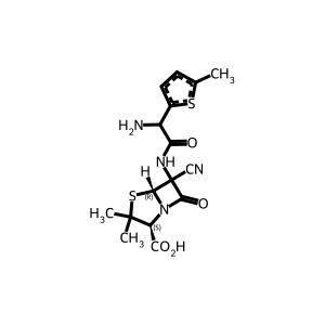 Cc1ccc(C(N)C(=O)NC2(C#N)C(=O)N3[C@@H](C(=O)O)C(C)(C)S[C@@H]32)s1